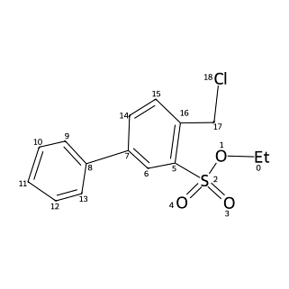 CCOS(=O)(=O)c1cc(-c2ccccc2)ccc1CCl